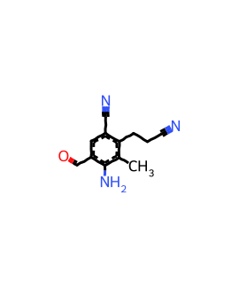 Cc1c(N)c(C=O)cc(C#N)c1CCC#N